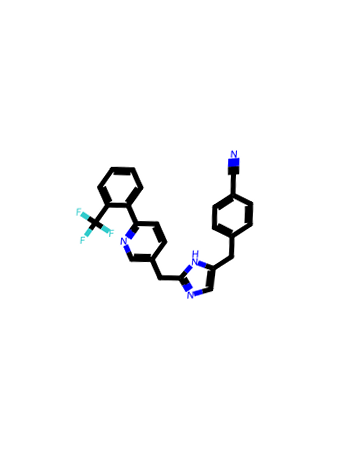 N#Cc1ccc(Cc2cnc(Cc3ccc(-c4ccccc4C(F)(F)F)nc3)[nH]2)cc1